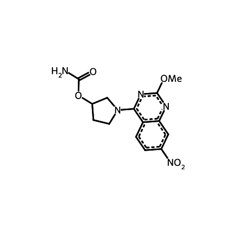 COc1nc(N2CCC(OC(N)=O)C2)c2ccc([N+](=O)[O-])cc2n1